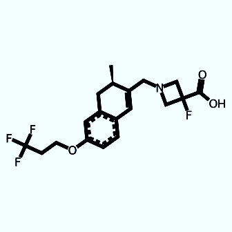 C[C@@H]1Cc2cc(OCCC(F)(F)F)ccc2C=C1CN1CC(F)(C(=O)O)C1